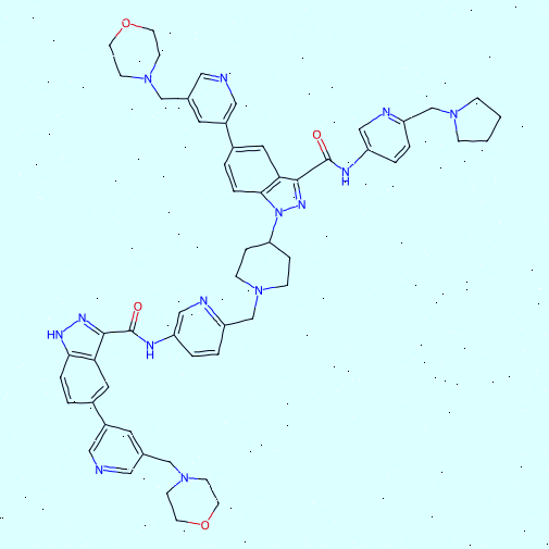 O=C(Nc1ccc(CN2CCC(n3nc(C(=O)Nc4ccc(CN5CCCC5)nc4)c4cc(-c5cncc(CN6CCOCC6)c5)ccc43)CC2)nc1)c1n[nH]c2ccc(-c3cncc(CN4CCOCC4)c3)cc12